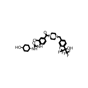 O=C(Nc1ccc(C(=O)N2CCN(Cc3ccc(C(O)(C(F)(F)F)C(F)(F)F)cc3)CC2)cc1Cl)N[C@H]1CC[C@H](O)CC1